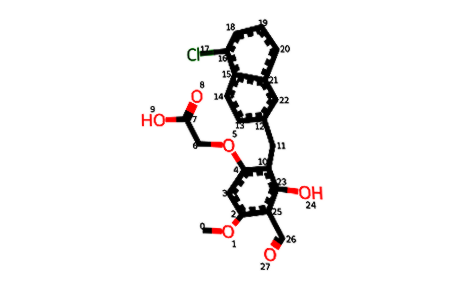 COc1cc(OCC(=O)O)c(Cc2ccc3c(Cl)cccc3c2)c(O)c1C=O